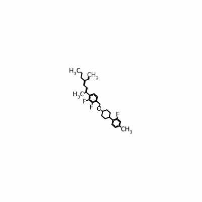 C=C/C(=C\C=C(/C)c1ccc(COC2CCC(c3ccc(C)cc3F)CC2)c(F)c1F)CCC